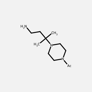 CC(=O)N1CCN(C(C)(C)CCN)CC1